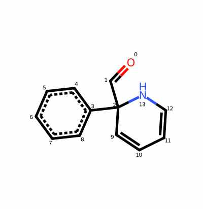 O=CC1(c2ccccc2)C=CC=CN1